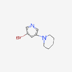 Brc1cncc(N2CCCCC2)c1